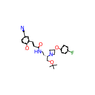 COc1ccc(C#N)cc1/C=C/C(=O)NCC[C@@H](COC(C)(C)C)N1CC(Oc2ccc(F)cc2)C1